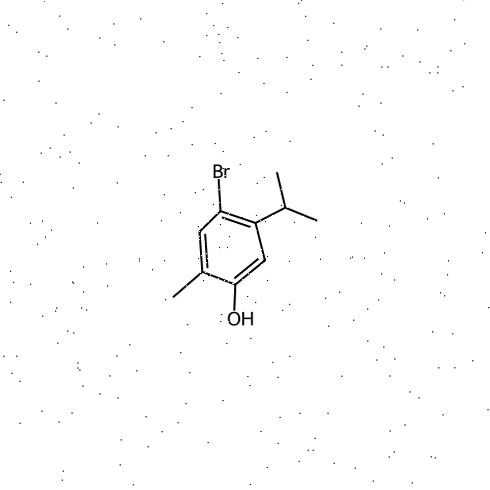 Cc1cc(Br)c(C(C)C)cc1O